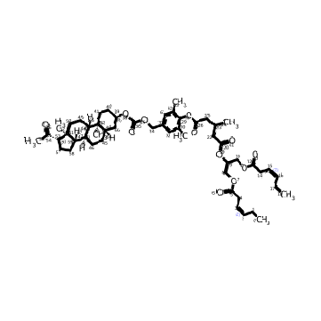 CC/C=C\CC(=O)OCC(COC(=O)C/C=C\CC)OC(=O)CC(C)CC(=O)Oc1c(C)cc(COC(=O)O[C@@H]2CC[C@@]3(C)[C@@H](CC[C@@H]4[C@@H]3CC[C@]3(C)[C@@H](C(C)=O)CC[C@@H]43)C2)cc1C